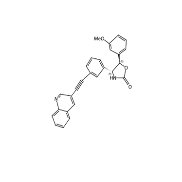 COc1cccc([C@H]2OC(=O)N[C@@H]2c2cccc(C#Cc3cnc4ccccc4c3)c2)c1